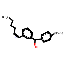 CCCCCc1ccc(C(O)c2cccc(/C=C\CCCC(=O)O)c2)cc1